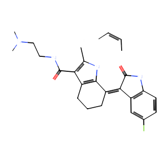 CCN(CC)CCNC(=O)c1c(C)[nH]c2c1CCC/C2=C1/C(=O)Nc2ccc(F)cc21.O=C(O)/C=C\C(=O)O